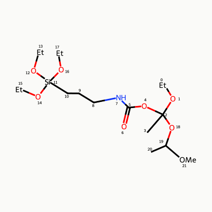 CCOC(C)(OC(=O)NCCC[Si](OCC)(OCC)OCC)OC(C)OC